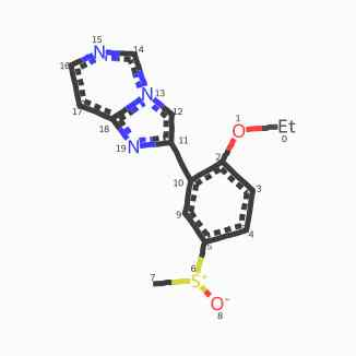 CCOc1ccc([S+](C)[O-])cc1-c1cn2cnccc2n1